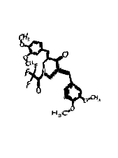 COc1ccc(C=C2CN(C(=O)C(F)(F)F)CC(=Cc3ccc(OC)c(OC)c3)C2=O)cc1OC